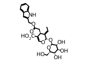 C/C=C1/[C@H](O[C@@H]2O[C@H](CO)[C@@H](O)[C@H](O)[C@H]2O)OC=C(C(=O)O)[C@H]1CC(=O)OCc1cc2ccccc2[nH]1